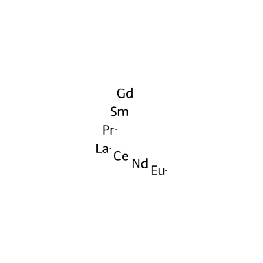 [Ce].[Eu].[Gd].[La].[Nd].[Pr].[Sm]